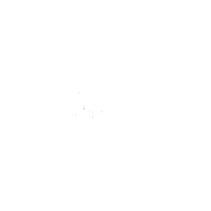 CCC(C)C1CC(O[C@@H]2O[C@@H](CO)C(O)C(O[C@@H](CC3CCCCC3)C(=O)O)C2NC(C)=O)C(OC2OC(C)C(O)C(O)C2O)[C@H](CC)C1